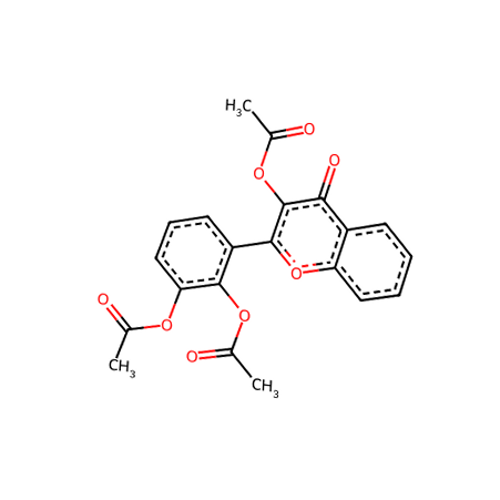 CC(=O)Oc1cccc(-c2oc3ccccc3c(=O)c2OC(C)=O)c1OC(C)=O